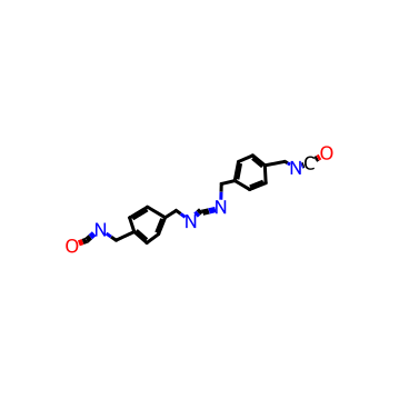 O=C=NCc1ccc(CN=C=NCc2ccc(CN=C=O)cc2)cc1